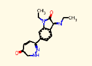 CCN=C1C(=O)N(CC)c2cc(C3=NNCC(=O)C=C3)ccc21